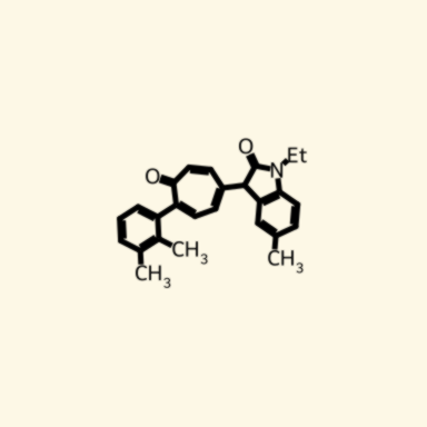 CCN1C(=O)C(c2ccc(-c3cccc(C)c3C)c(=O)cc2)c2cc(C)ccc21